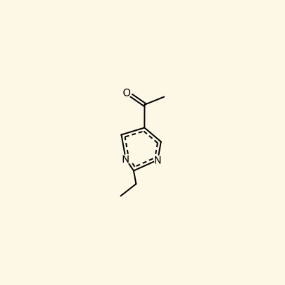 CCc1ncc(C(C)=O)cn1